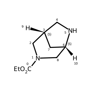 CCOC(=O)N1C[C@@H]2CN[C@@H](C2)C1